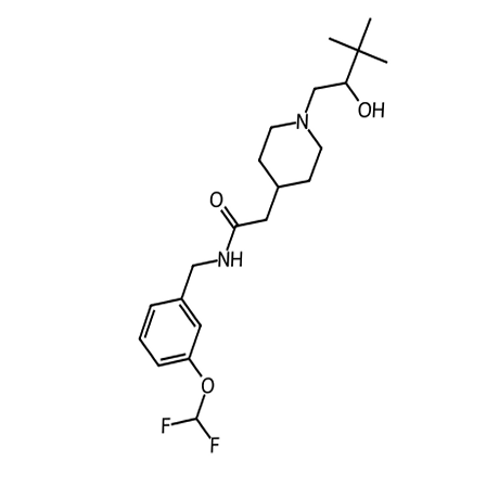 CC(C)(C)C(O)CN1CCC(CC(=O)NCc2cccc(OC(F)F)c2)CC1